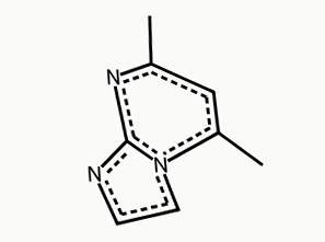 Cc1cc(C)n2ccnc2n1